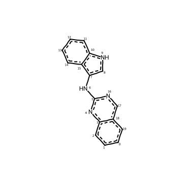 c1ccc2nc(Nc3c[nH]c4ccccc34)ncc2c1